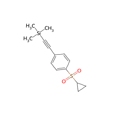 C[Si](C)(C)C#Cc1ccc(S(=O)(=O)C2CC2)cc1